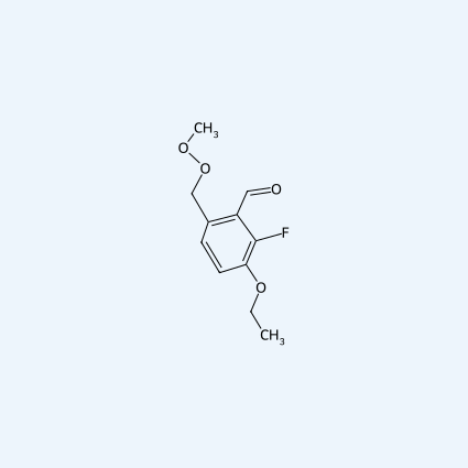 CCOc1ccc(COOC)c(C=O)c1F